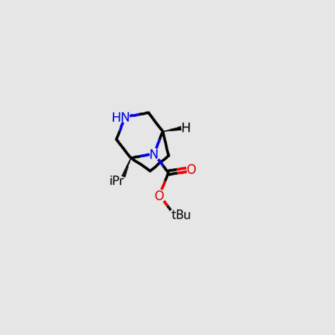 CC(C)[C@@]12CC[C@@H](CNC1)N2C(=O)OC(C)(C)C